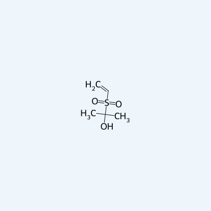 C=CS(=O)(=O)C(C)(C)O